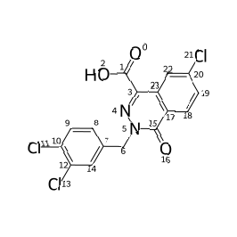 O=C(O)c1nn(Cc2ccc(Cl)c(Cl)c2)c(=O)c2ccc(Cl)cc12